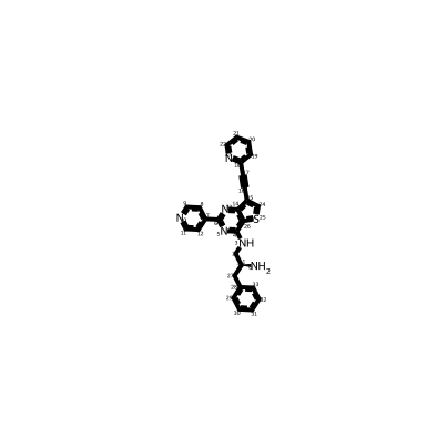 N[C@H](CNc1nc(-c2ccncc2)nc2c(C#Cc3ccccn3)csc12)Cc1ccccc1